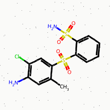 Cc1cc(N)c(Cl)cc1S(=O)(=O)c1ccccc1S(N)(=O)=O